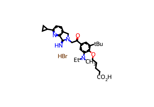 Br.CCN(C)c1cc(C(=O)CN2Cc3ccc(C4CC4)nc3C2=N)cc(C(C)(C)C)c1OCCCCC(=O)O